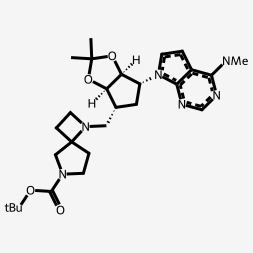 CNc1ncnc2c1ccn2[C@@H]1C[C@H](CN2CCC23CCN(C(=O)OC(C)(C)C)C3)[C@H]2OC(C)(C)O[C@H]21